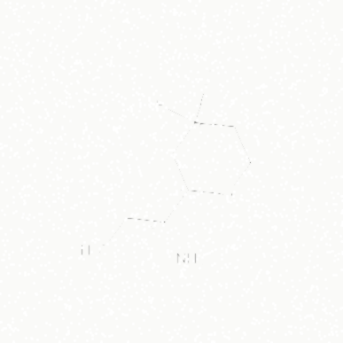 CC[C@@H](N)C1CC(F)(F)CCO1